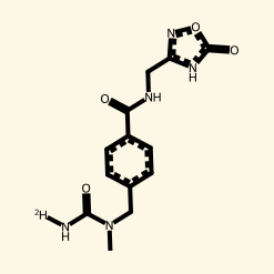 [2H]NC(=O)N(C)Cc1ccc(C(=O)NCc2noc(=O)[nH]2)cc1